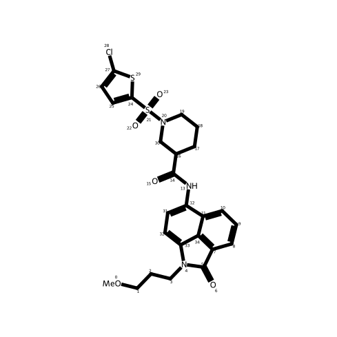 COCCCN1C(=O)c2cccc3c(NC(=O)C4CCCN(S(=O)(=O)c5ccc(Cl)s5)C4)ccc1c23